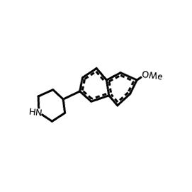 COc1ccc2cc(C3CCNCC3)ccc2c1